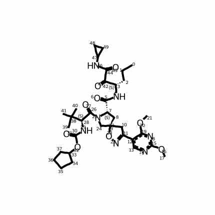 CCC[C@H](NC(=O)[C@@H]1C[C@]2(CC(c3cnc(OC)nc3OC)=NO2)CN1C(=O)[C@@H](NC(=O)OC1CCCC1)C(C)(C)C)C(=O)C(=O)NC1CC1